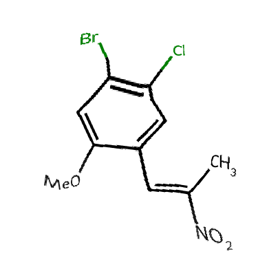 COc1cc(Br)c(Cl)cc1/C=C(\C)[N+](=O)[O-]